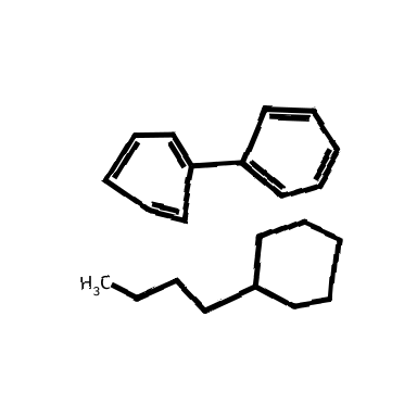 CCCCC1CCCCC1.c1ccc(-c2ccccc2)cc1